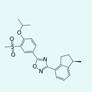 CC(C)Oc1ccc(-c2nc(-c3cccc4c3CC[C@H]4C)no2)cc1S(C)(=O)=O